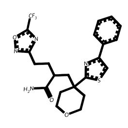 NC(=O)C(CCc1noc(C(F)(F)F)n1)CC1(c2nc(-c3ccccc3)cs2)CCOCC1